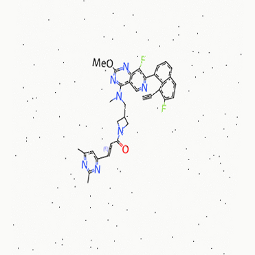 C#Cc1c(F)ccc2cccc(-c3ncc4c(N(C)CC5CN(C(=O)/C=C/c6cc(C)nc(C)n6)C5)nc(OC)nc4c3F)c12